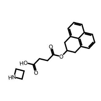 C1CNC1.O=C(O)CCC(=O)OC1Cc2cccc3cccc(c23)C1